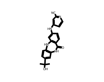 CC(C)(O)c1ccc2c(c1)NC(=O)c1ccc(Nc3ccnc(C#N)c3)cc1N2